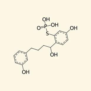 O=P(O)(O)Sc1cc(O)ccc1C(O)CCCc1cccc(O)c1